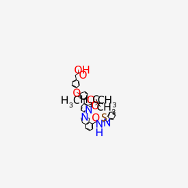 Cc1c(Oc2ccc(CC(=O)O)cc2)cccc1-c1ccc(N2CCc3cccc(C(=O)Nc4nc5ccccc5s4)c3C2)nc1C(=O)OC(C)(C)C